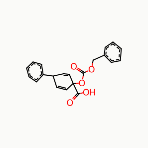 O=C(OCc1ccccc1)OC1(C(=O)O)C=CC(c2ccccc2)C=C1